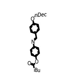 CCCCCCCCCCOc1ccc(C=Nc2ccc(OC(=O)C(C)CC)cc2)cc1